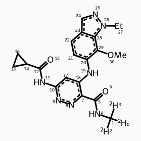 [2H]C([2H])([2H])NC(=O)c1nnc(NC(=O)C2CC2)cc1Nc1ccc2cnn(CC)c2c1OC